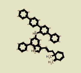 C=C1C=CC=CC1(C)C/C=C/c1c[nH]c2c(-c3ccccc3)cc(Nc3cc(-c4ccccc4)ccc3-c3ccc(-c4ccccc4)cc3)cc12